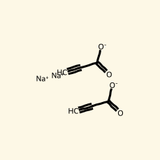 C#CC(=O)[O-].C#CC(=O)[O-].[Na+].[Na+]